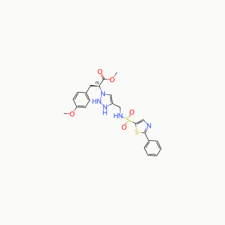 COC(=O)[C@H](Cc1ccc(OC)cc1)N1C=C(CNS(=O)(=O)c2cnc(-c3ccccc3)s2)NN1